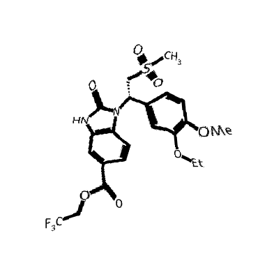 CCOc1cc([C@@H](CS(C)(=O)=O)n2c(=O)[nH]c3cc(C(=O)OCC(F)(F)F)ccc32)ccc1OC